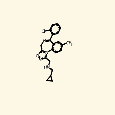 FC(F)(F)c1ccc2c(c1)C(c1ccccc1Cl)=NCc1nnc(CNCC3CC3)n1-2